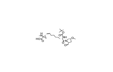 CN[C@]1(C(=O)O)C[C@H]1/C=C\CCCCC[C@H](NC(=O)OC(C)(C)C)C(=O)N1C[C@H](OC)C[C@H]1C=O